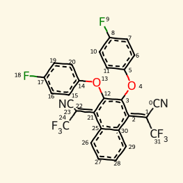 N#C/C(=c1\c(Oc2ccc(F)cc2)c(Oc2ccc(F)cc2)/c(=C(\C#N)C(F)(F)F)c2ccccc12)C(F)(F)F